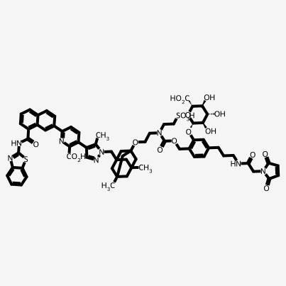 Cc1c(-c2ccc(-c3ccc4cccc(C(=O)Nc5nc6ccccc6s5)c4c3)nc2C(=O)O)cnn1CC12CC3(C)CC(C)(C1)CC(OCCN(CCS(=O)(=O)O)C(=O)OCc1ccc(CCCNC(=O)CN4C(=O)C=CC4=O)cc1O[C@@H]1O[C@H](C(=O)O)[C@@H](O)[C@H](O)[C@H]1O)(C3)C2